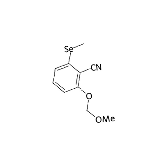 COCOc1cccc([Se]C)c1C#N